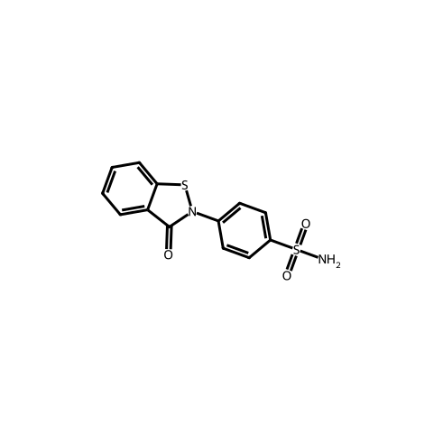 NS(=O)(=O)c1ccc(-n2sc3ccccc3c2=O)cc1